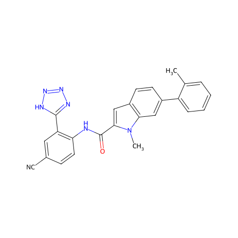 Cc1ccccc1-c1ccc2cc(C(=O)Nc3ccc(C#N)cc3-c3nnn[nH]3)n(C)c2c1